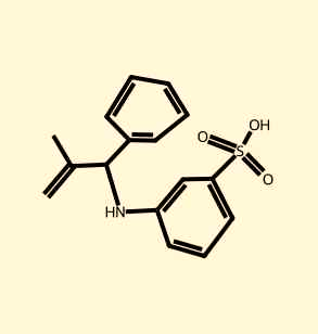 C=C(C)C(Nc1cccc(S(=O)(=O)O)c1)c1ccccc1